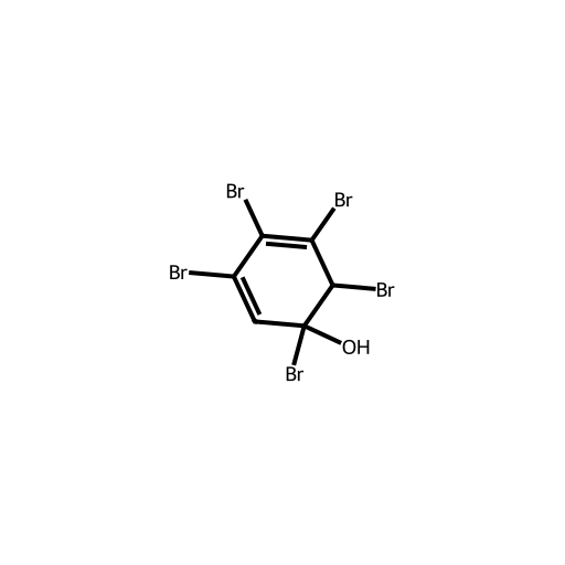 OC1(Br)C=C(Br)C(Br)=C(Br)C1Br